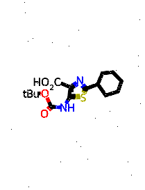 CC(C)(C)OC(=O)Nc1sc(C2CCCCC2)nc1C(=O)O